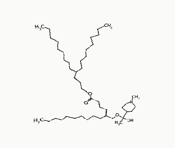 CCCCCCCCCCC(CCCC(=O)OCCCC(CCCCCCCCC)CCCCCCCCC)COC(C)(O)C1CCN(C)CC1